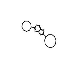 c1cc2sc(C3CCCCCCCCCC3)cc2nc1C1CCCCCCCC1